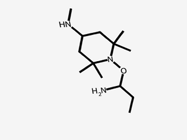 CCC(N)ON1C(C)(C)CC(NC)CC1(C)C